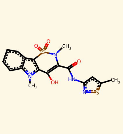 Cc1cc(NC(=O)C2=C(O)c3c(c4ccccc4n3C)S(=O)(=O)N2C)ns1